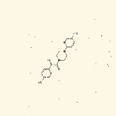 CC(C)c1ccc(C(=O)C(=O)N2CCN(c3ccc(C#N)cn3)CC2)cc1